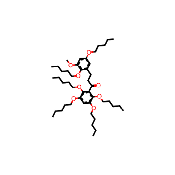 CCCCCOc1cc(CCC(=O)c2c(OCCCCC)c(OCCCCC)cc(OCCCCC)c2OCCCCC)c(OCCCCC)c(OC)c1